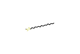 CCCCCCCCCCCCCCCCSSC